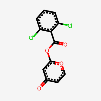 O=C(Oc1cc(=O)cco1)c1c(Cl)cccc1Cl